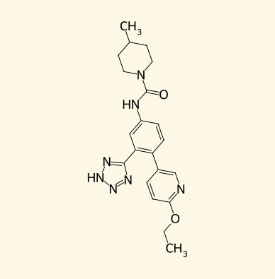 CCOc1ccc(-c2ccc(NC(=O)N3CCC(C)CC3)cc2-c2nn[nH]n2)cn1